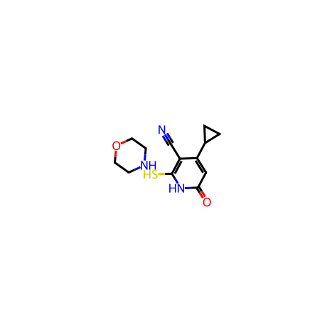 C1COCCN1.N#Cc1c(C2CC2)cc(=O)[nH]c1S